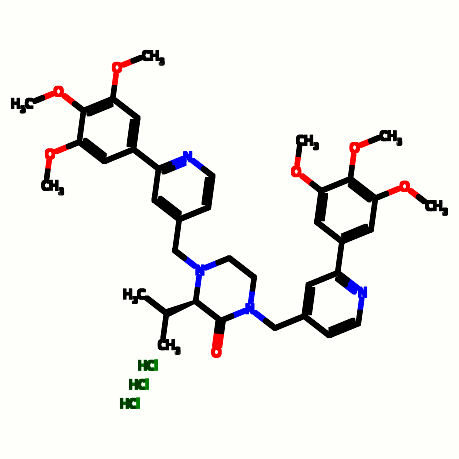 COc1cc(-c2cc(CN3CCN(Cc4ccnc(-c5cc(OC)c(OC)c(OC)c5)c4)[C@H](C(C)C)C3=O)ccn2)cc(OC)c1OC.Cl.Cl.Cl